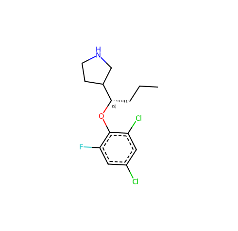 CCC[C@H](Oc1c(F)cc(Cl)cc1Cl)C1CCNC1